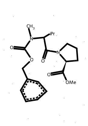 COC(=O)[C@@H]1CCCN1C(=O)C(C(C)C)N(C)C(=O)OCc1ccccc1